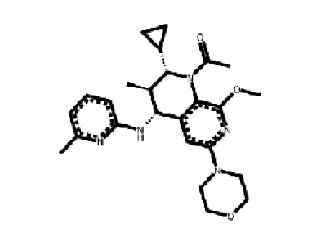 COc1nc(N2CCOCC2)cc2c1N(C(C)=O)[C@@H](C1CC1)[C@H](C)[C@H]2Nc1cccc(C)n1